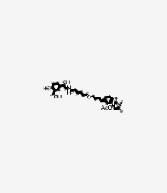 CC(=O)O[N+]1(c2cccc(CCCCOCCCCCCNC[C@@H](O)c3ccc(O)c(CO)c3)c2)CC(=O)N(C)C1=O